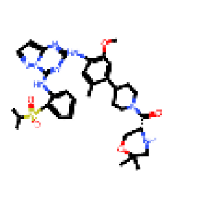 COc1cc(C2CCN(C(=O)[C@H]3COC(C)(C)CN3)CC2)c(C)cc1Nc1nc(Nc2ccccc2S(=O)(=O)C(C)C)n2nccc2n1